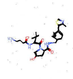 Cc1ncsc1-c1ccc(CNC(=O)C2CC(O)CN2C(=O)[C@@H](NC(=O)CCCN)C(C)(C)C)cc1